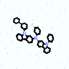 Fc1cccc(N(c2ccc3c4ccccc4n(-c4ccccc4)c3c2)c2ccc3c4ccccc4n(-c4cccc(-c5ccccc5)c4)c3c2)c1